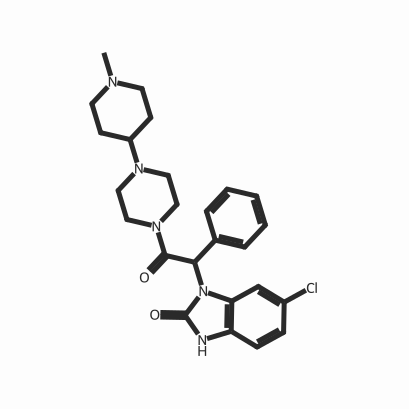 CN1CCC(N2CCN(C(=O)C(c3ccccc3)n3c(=O)[nH]c4ccc(Cl)cc43)CC2)CC1